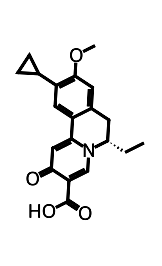 CC[C@H]1Cc2cc(OC)c(C3CC3)cc2-c2cc(=O)c(C(=O)O)cn21